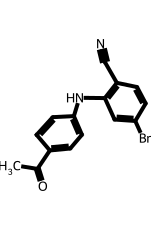 CC(=O)c1ccc(Nc2cc(Br)ccc2C#N)cc1